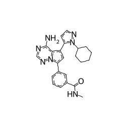 CNC(=O)c1cccc(-c2cc(-c3ccnn3C3CCCCC3)c3c(N)ncnn23)c1